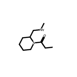 CCC(=O)N1CCCCC1CNC